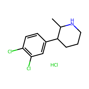 CC1NCCCC1c1ccc(Cl)c(Cl)c1.Cl